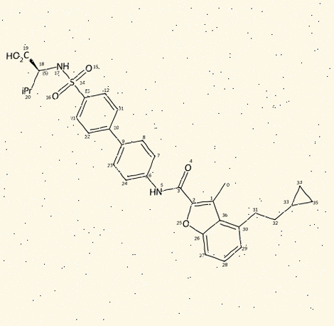 Cc1c(C(=O)Nc2ccc(-c3ccc(S(=O)(=O)N[C@H](C(=O)O)C(C)C)cc3)cc2)oc2cccc(CCC3CC3)c12